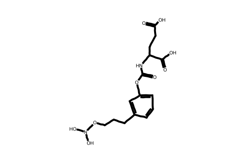 O=C(O)CCC(NC(=O)Oc1cccc(CCCON(O)O)c1)C(=O)O